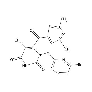 CCc1c(C(=O)c2cc(C)cc(C)c2)n(Cc2cccc(Br)n2)c(=O)[nH]c1=O